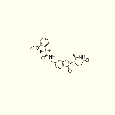 C=C1NC(=O)CCC1N1Cc2cc(CNC(=O)C(F)(F)c3ccccc3OCC)ccc2C1=O